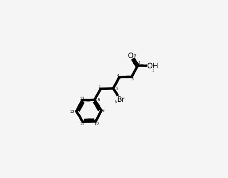 O=C(O)CCC(Br)Cc1ccccc1